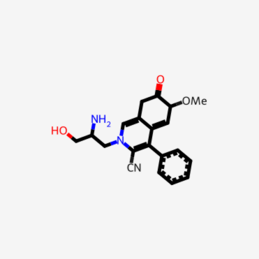 COC1C=C2C(=CN(CC(N)CO)C(C#N)=C2c2ccccc2)CC1=O